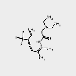 C=CC(=C=CC(C)=C(C)NC(=O)CN(CC)CC)C(F)(F)F